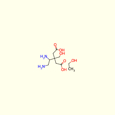 CCO.NCC(N)C(CO)(CC(=O)O)CC(=O)O